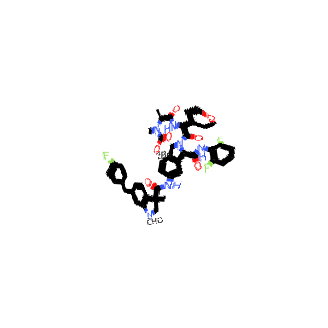 C[C@@H](C(=O)NC(C(=O)N1Cc2ccc(NC(=O)C3(C)CN(C=O)c4cc(Cc5ccc(F)cc5)ccc43)cc2C1C(=O)Nc1c(F)cccc1F)C1CCOCC1)N(C)C(=O)OC(C)(C)C